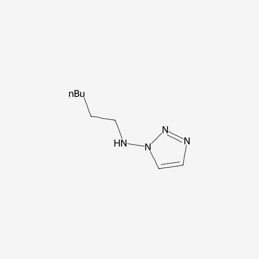 CCCCCCNn1ccnn1